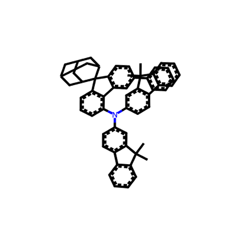 CC1(C)c2ccccc2-c2ccc(N(c3ccc4c(c3)C(C)(C)c3ccccc3-4)c3cccc4c3-c3cc(-c5ccccc5)ccc3C43C4CC5CC(C4)CC3C5)cc21